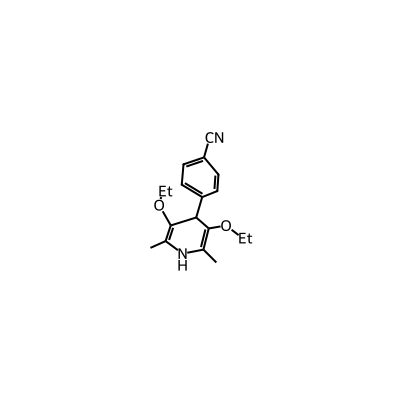 CCOC1=C(C)NC(C)=C(OCC)C1c1ccc(C#N)cc1